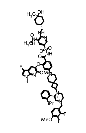 COc1ccc(CN2CCN(C3CC4(CCN(c5ccc(C(=O)NS(=O)(=O)c6cnc(NC[C@H]7CC[C@](C)(O)CC7)c([NH+](C)[O-])c6)c(Oc6cc7c(F)c[nH]c7nc6OC)c5)CC4)C3)[C@H](c3ccccc3C(C)C)C2)c(F)c1F